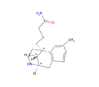 Cc1ccc2c(c1)[C@]1(CCCC(N)=O)CCN[C@H](C2)[C@@H]1C